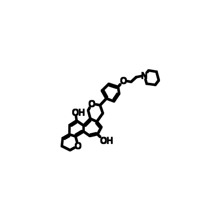 OC1=Cc2c3c(cc(O)c2=C2COC(c4ccc(OCCN5CCCCC5)cc4)CC2=C1)=CCCO3